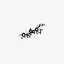 CCC1Sc2nc(N[C@@H]3C[C@@]3(O)c3ccc(F)c(F)c3)c3c(n2)n([C@@H]2C[C@H](OCCO)C(O)[C@H]2O)n31